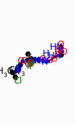 CC1(C)CCC(c2ccc(Cl)cc2)=C(CN2CCN(c3ccc(C(=O)NSc4ccc(N[C@H](CCN5CCN(C(=O)Cn6cc(COCCOCCNc7cccc8c7C(=O)N(C7CCC(=O)NC7=O)C8=O)[nH]6)CC5)CSc5ccccc5)c(S(=O)(=O)C(F)(F)F)c4)cc3)CC2)C1